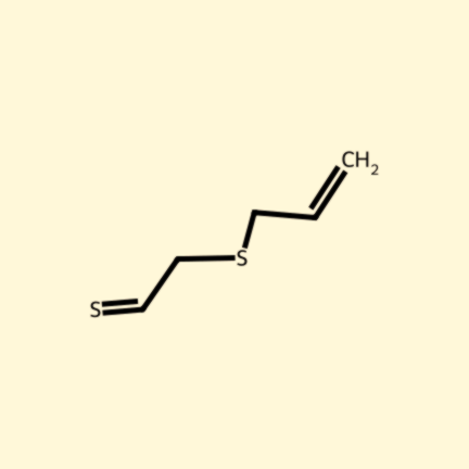 C=CCSCC=S